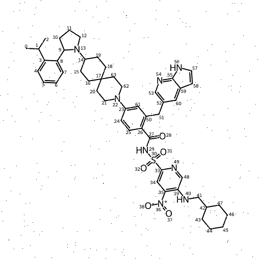 CC(C)c1ccccc1C1CCCN1C1CCC2(CC1)CCN(c1ccc(C(=O)NS(=O)(=O)c3cc([N+](=O)[O-])c(NCC4CCCCC4)cn3)c(Cc3cnc4[nH]ccc4c3)c1)CC2